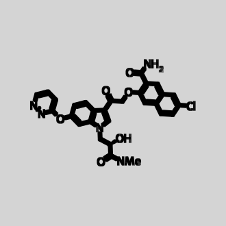 CNC(=O)[C@H](O)Cn1cc(C(=O)COc2cc3ccc(Cl)cc3cc2C(N)=O)c2ccc(Oc3cccnn3)cc21